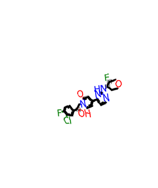 O=c1cc(-c2ccnc(N[C@H]3CCOC[C@H]3F)n2)ccn1C[C@@H](O)c1ccc(F)c(Cl)c1